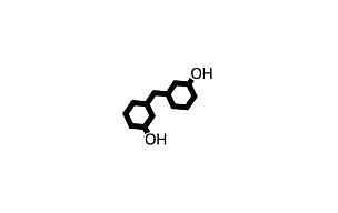 OC1CCCC(CC2CCCC(O)C2)C1